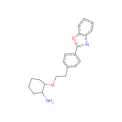 NC1CCCCC1OCCc1ccc(-c2nc3ccccc3o2)cc1